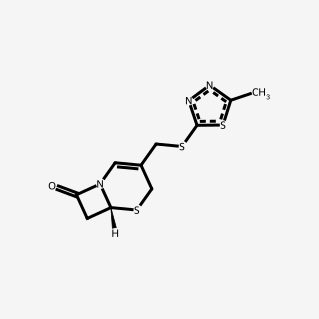 Cc1nnc(SCC2=CN3C(=O)C[C@H]3SC2)s1